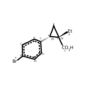 CC[C@]1(C(=O)O)C[C@H]1c1ccc(Br)cc1